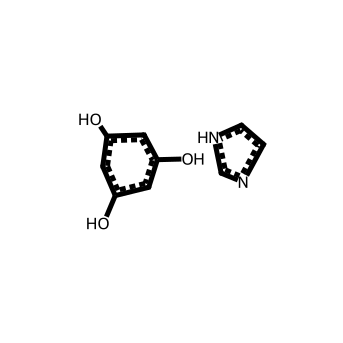 Oc1cc(O)cc(O)c1.c1c[nH]cn1